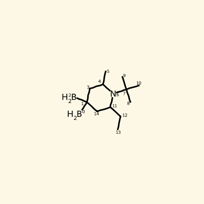 BC1(B)CC(C)N(C(C)(C)C)C(CC)C1